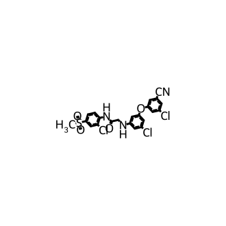 CS(=O)(=O)c1ccc(NC(=O)CNc2cc(Cl)cc(Oc3cc(Cl)cc(C#N)c3)c2)c(Cl)c1